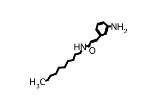 CCCCCCCCCCNC(=O)C=Cc1cccc(N)c1